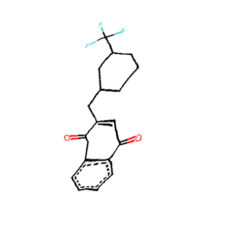 O=C1C=C(CC2CCCC(C(F)(F)F)C2)C(=O)c2ccccc21